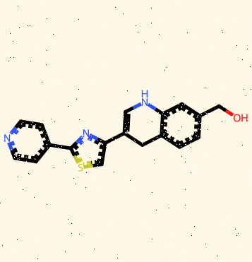 OCc1ccc2c(c1)NC=C(c1csc(-c3ccncc3)n1)C2